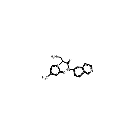 Cc1ccn(C(CN)C(=O)Nc2ccc3cnccc3c2)c(=O)c1